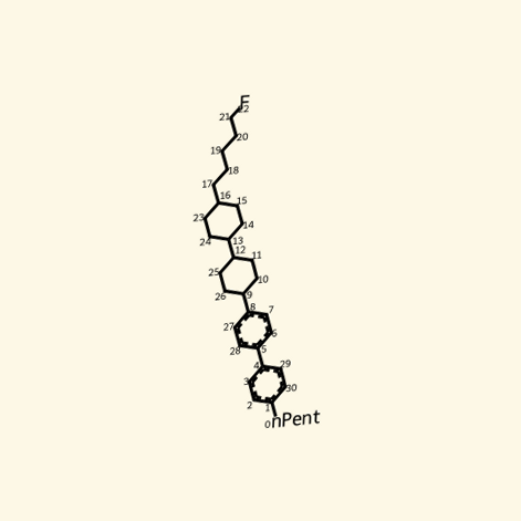 CCCCCc1ccc(-c2ccc(C3CCC(C4CCC(CCCCCF)CC4)CC3)cc2)cc1